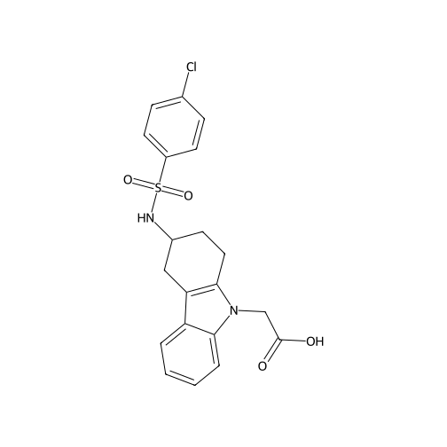 O=C(O)Cn1c2c(c3ccccc31)CC(NS(=O)(=O)c1ccc(Cl)cc1)CC2